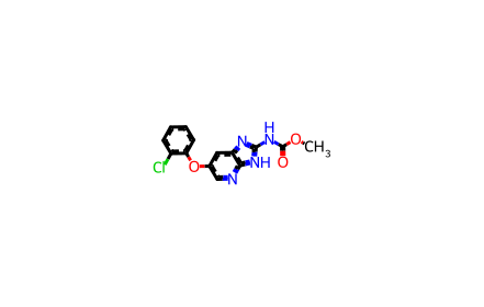 COC(=O)Nc1nc2cc(Oc3ccccc3Cl)cnc2[nH]1